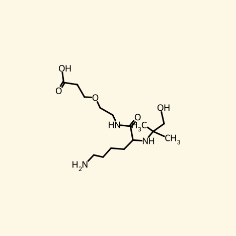 CC(C)(CO)NC(CCCCN)C(=O)NCCOCCC(=O)O